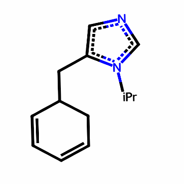 CC(C)n1cncc1CC1C=CC=CC1